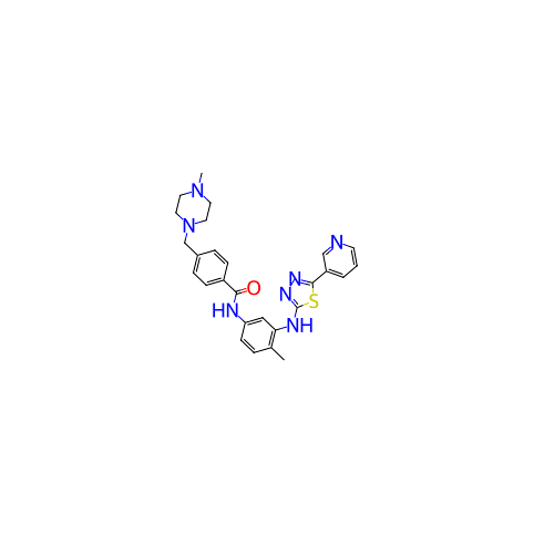 Cc1ccc(NC(=O)c2ccc(CN3CCN(C)CC3)cc2)cc1Nc1nnc(-c2cccnc2)s1